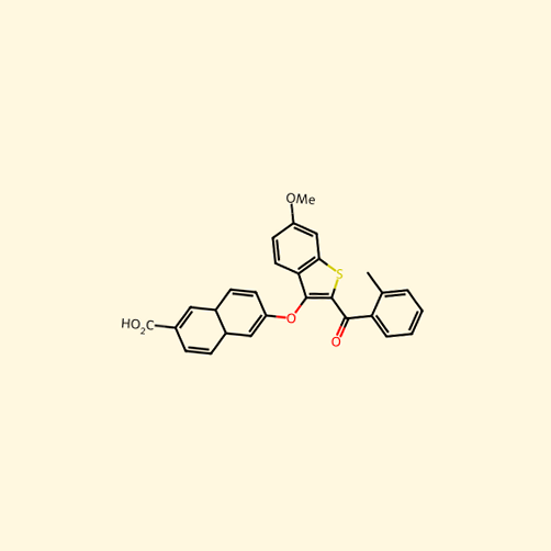 COc1ccc2c(OC3=CC4C=CC(C(=O)O)=CC4C=C3)c(C(=O)c3ccccc3C)sc2c1